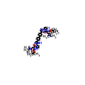 CN(C)CCC(NC(=O)OC(C)(C)C)C(=O)N1CCC[C@H]1c1ncc(-c2ccc(-c3ccc(-c4cnc([C@@H]5CCCN5C(=O)[C@H](CCN(C)C)NC(=O)OC(C)(C)C)[nH]4)cc3)cc2)[nH]1